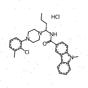 CCCC(NC(=O)c1ccc2c(c1)c1ccccc1n2C)N1CCN(c2cccc(C)c2Cl)CC1.Cl